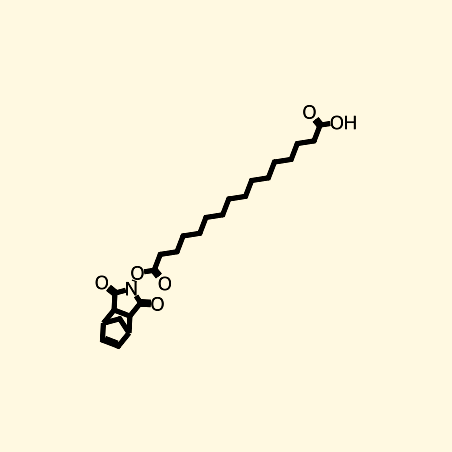 O=C(O)CCCCCCCCCCCCCCC(=O)ON1C(=O)C2C3C=CC(C3)C2C1=O